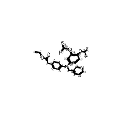 CCOC(=O)Cc1ccc(N(Cc2cccnc2)c2ccc(OC(F)F)c(OC(F)F)c2)cc1